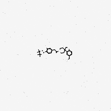 CC1(C)OB(c2ccc(CC(=O)N3CCC4(CC3)COc3ccc(CNC(=O)O)cc34)cc2F)OC1(C)C